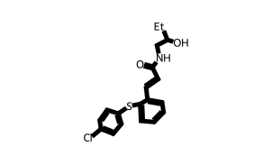 CCC(O)CNC(=O)C=Cc1ccccc1Sc1ccc(Cl)cc1